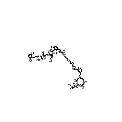 CCN(C)CC(=O)OC1OC(=O)CN(C)CCN(CCN(CC)CC(=O)NCCOCCOCCOCC(=O)NCc2ccc(F)c(C(=O)N[C@@H](CCSC)C(=O)NCC(=O)N[C@@H](CCCCN3C(=O)C=CC3=O)C(=O)O)c2)CC(=O)O1